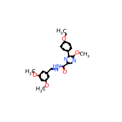 CCOc1ccc(-c2nc(C(=O)N/N=C/c3cc(OC)cc(OC)c3)cnc2OC)cc1